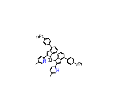 CCCc1ccc(-c2cccc3c2C=C(c2ccc(C)cn2)[CH]3[Zr][CH]2C(c3ccc(C)cn3)=Cc3c(-c4ccc(CCC)cc4)cccc32)cc1